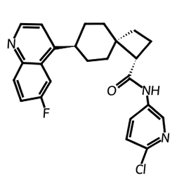 O=C(Nc1ccc(Cl)nc1)[C@H]1CC[C@]12CC[C@H](c1ccnc3ccc(F)cc31)CC2